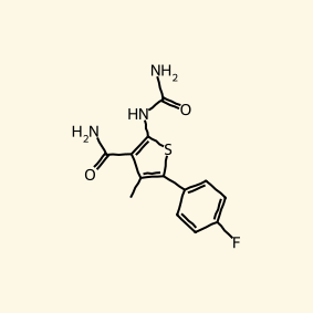 Cc1c(-c2ccc(F)cc2)sc(NC(N)=O)c1C(N)=O